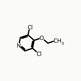 CCOc1c(Cl)cncc1Cl